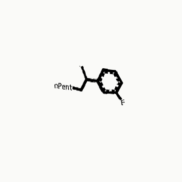 [CH2]C(CCCCCC)c1cccc(F)c1